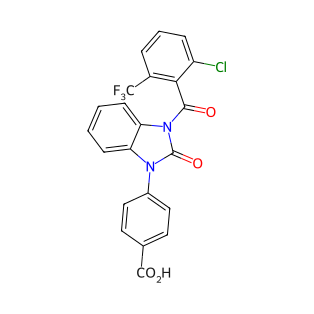 O=C(O)c1ccc(-n2c(=O)n(C(=O)c3c(Cl)cccc3C(F)(F)F)c3ccccc32)cc1